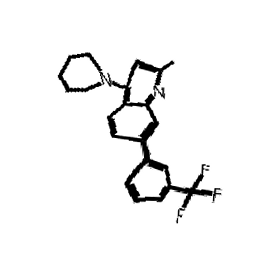 Cc1cc(N2CCCCC2)c2ccc(-c3cccc(C(F)(F)F)c3)cc2n1